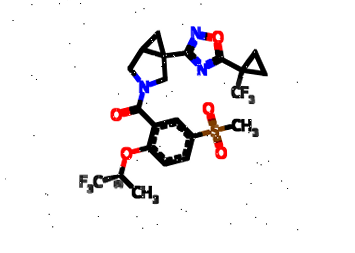 C[C@H](Oc1ccc(S(C)(=O)=O)cc1C(=O)N1CC2CC2(c2noc(C3(C(F)(F)F)CC3)n2)C1)C(F)(F)F